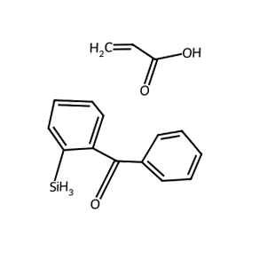 C=CC(=O)O.O=C(c1ccccc1)c1ccccc1[SiH3]